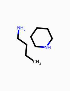 C1CCNCC1.CCCCN